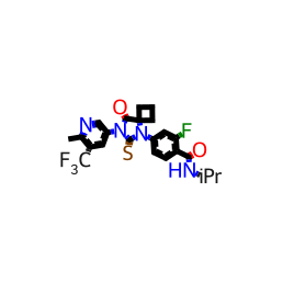 Cc1ncc(N2C(=O)C3(CCC3)N(c3ccc(C(=O)NC(C)C)c(F)c3)C2=S)cc1C(F)(F)F